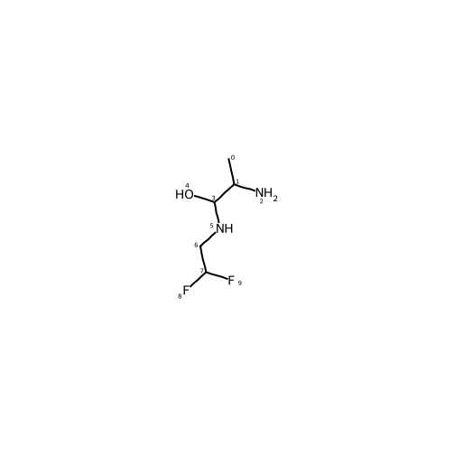 CC(N)C(O)NCC(F)F